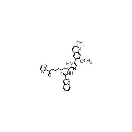 COc1cc2nc(C)ccc2cc1-c1cnc([C@H](CCCCCC(=O)c2ncco2)NC(=O)c2cc3ccccn3n2)[nH]1